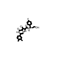 Cc1ccc(-c2cn3nc(C(=O)N[C@H](CCO)c4ccc(F)cc4)c(Cl)c3c(=O)[nH]2)cc1C